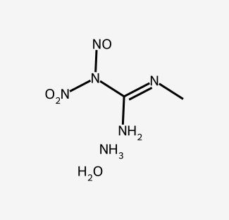 CN=C(N)N(N=O)[N+](=O)[O-].N.O